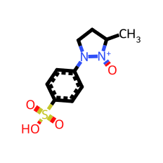 CC1CCN(c2ccc(S(=O)(=O)O)cc2)[N+]1=O